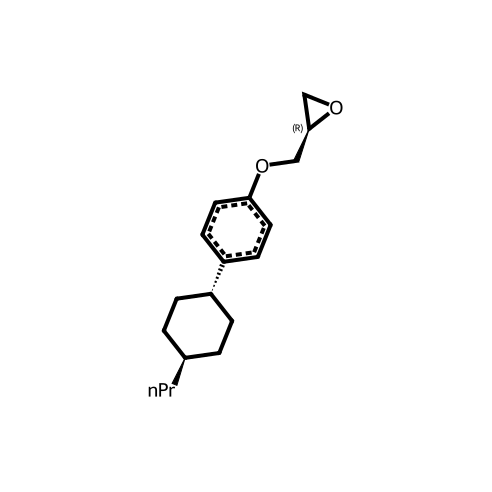 CCC[C@H]1CC[C@H](c2ccc(OC[C@H]3CO3)cc2)CC1